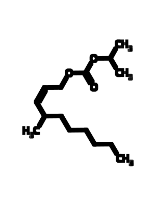 CCCCCCC(C)/C=C\COC(=O)OC(C)C